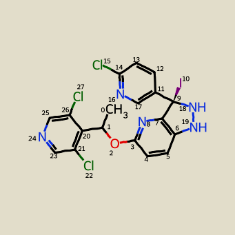 CC(Oc1ccc2c(n1)[C@](I)(c1ccc(Cl)nc1)NN2)c1c(Cl)cncc1Cl